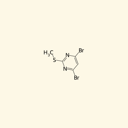 CSc1nc(Br)cc(Br)n1